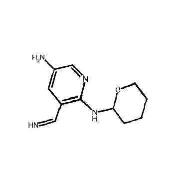 N=Cc1cc(N)cnc1NC1CCCCO1